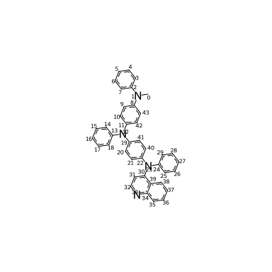 CN(c1ccccc1)c1ccc(N(c2ccccc2)c2ccc(N(c3ccccc3)c3ccnc4ccccc34)cc2)cc1